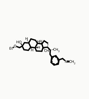 C=NCc1cccc(C[C@@H](C)[C@H]2CC[C@H]3[C@@H]4CC[C@@H]5C[C@@](O)(COCC)CC[C@@H]5[C@H]4CC[C@]23C)c1